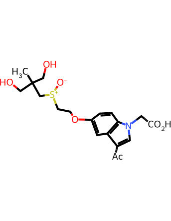 CC(=O)c1cn(CC(=O)O)c2ccc(OCC[S+]([O-])CC(C)(CO)CO)cc12